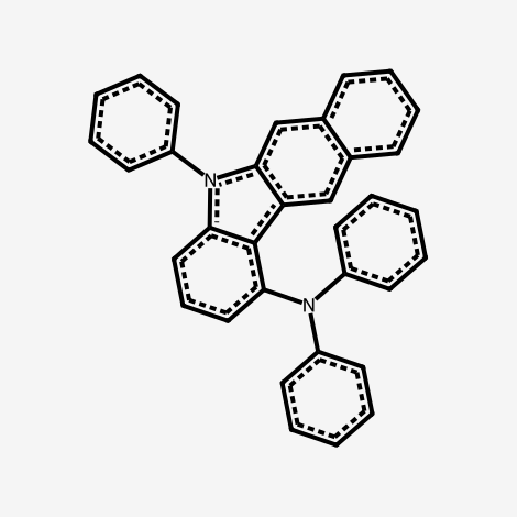 c1ccc(N(c2ccccc2)c2cccc3c2c2cc4ccccc4cc2n3-c2ccccc2)cc1